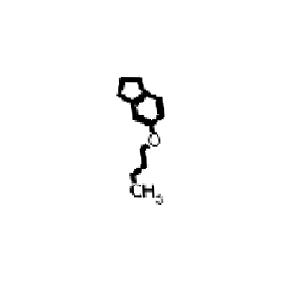 CCCCOc1ccc2c(c1)CCC2